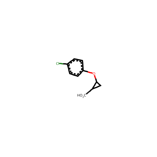 O=C(O)C1CC1Oc1ccc(Cl)cc1